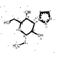 CS[C@@H]1OC(CO)[C@H](O)[C@H](n2ccnn2)C1O